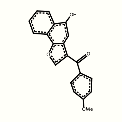 COc1ccc(C(=O)c2coc3c2cc(O)c2ccccc23)cc1